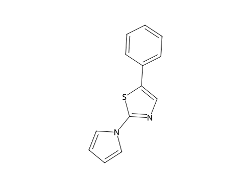 c1ccc(-c2cnc(-n3cccc3)s2)cc1